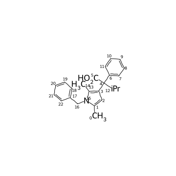 Cc1cc(C(C(=O)O)(c2ccccc2)C(C)C)c(C)n1Cc1ccccc1